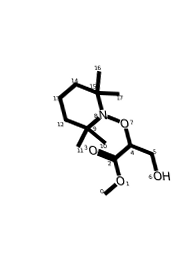 COC(=O)C(CO)ON1C(C)(C)CCCC1(C)C